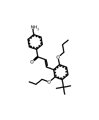 CCCOc1ccc(C(C)(C)C)c(OCCC)c1C=CC(=O)c1ccc(N)cc1